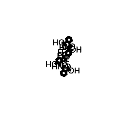 O=C(O)c1ccccc1C(=O)Nc1cc(C(c2ccc(O)c(NC(=O)c3ccccc3C(=O)O)c2)(C(F)(F)F)C(F)(F)F)ccc1O